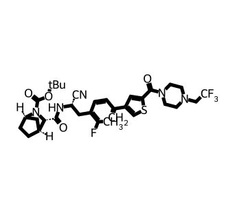 C=C(/C=C\C(C[C@@H](C#N)NC(=O)[C@@H]1[C@H]2CC[C@H](C2)N1C(=O)OC(C)(C)C)=C(/C)F)c1csc(C(=O)N2CCN(CC(F)(F)F)CC2)c1